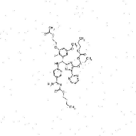 CCCCOC(=O)N=C(N)c1ccc(NC(c2nc(O[C@@H](CC)OC(=O)OCCC)n(-c3ncccn3)n2)c2cc(OC)cc(OCCOC(C)=O)c2F)cc1